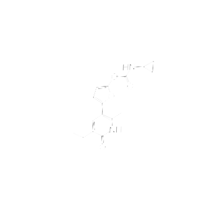 CCc1cc(-c2ccc(OC(=O)NC3CC3)o2)c(C)[nH]c1=O